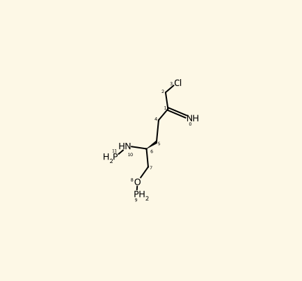 N=C(CCl)CC[C@@H](COP)NP